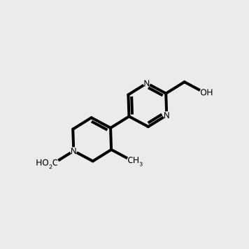 CC1CN(C(=O)O)CC=C1c1cnc(CO)nc1